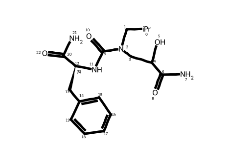 CC(C)CN(CC(O)C(N)=O)C(=O)N[C@@H](Cc1ccccc1)C(N)=O